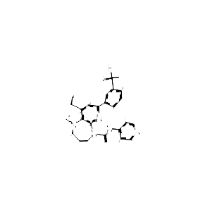 C=C(Nc1ccncc1)N1CCCN(C)c2c(CC)cc(-c3cccc(C(F)(F)F)c3)nc21